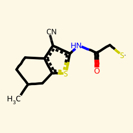 CC1CCc2c(sc(NC(=O)C[S])c2C#N)C1